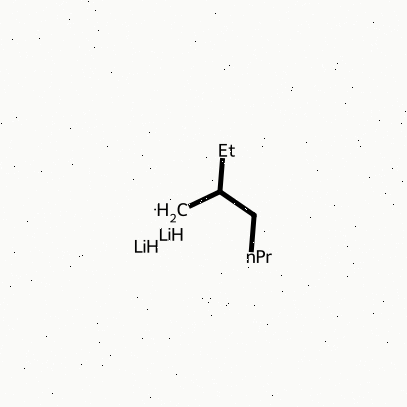 [CH2]C(CC)CCCC.[LiH].[LiH]